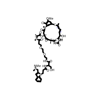 CNN(C)Cc1cc2ccccc2n1CCC(=O)NC(CO)C(=O)NCCOCCOCCC(=O)N(C)[C@@H](C)C(=O)O[C@H]1CC(=O)N(C)c2cc(cc(OC)c2Cl)C/C(C)=C/C=C/[C@@H](O)[C@@]2(O)C[C@H](OC(=O)N2)[C@@H](C)C2O[C@]21C